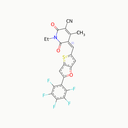 CCN1C(=O)C(C#N)=C(C)/C(=C/c2cc3oc(-c4c(F)c(F)c(F)c(F)c4F)cc3s2)C1=O